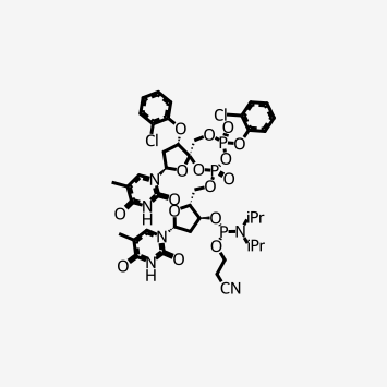 Cc1cn([C@H]2C[C@H](OP(OCCC#N)N(C(C)C)C(C)C)[C@@H](COP3(=O)O[C@@]4(COP(=O)(Oc5ccccc5Cl)O3)O[C@@H](n3cc(C)c(=O)[nH]c3=O)C[C@@H]4Oc3ccccc3Cl)O2)c(=O)[nH]c1=O